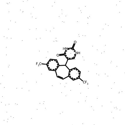 O=c1[nH]cc(C2c3ccc(C(F)(F)F)cc3C=Cc3cc(C(F)(F)F)ccc32)c(=O)[nH]1